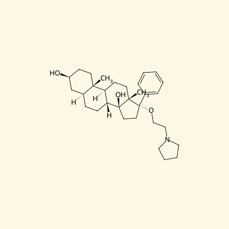 C[C@]12CC[C@H](O)C[C@@H]1CC[C@@H]1[C@@H]2CC[C@]2(C)[C@@](OCCN3CCCC3)(c3ccccc3)CC[C@]12O